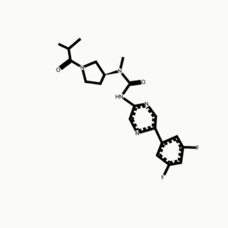 CC(C)C(=O)N1CC[C@H](N(C)C(=O)Nc2cnc(-c3cc(F)cc(F)c3)cn2)C1